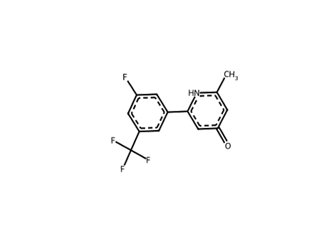 Cc1cc(=O)cc(-c2cc(F)cc(C(F)(F)F)c2)[nH]1